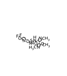 COc1cnc(C)cc1-c1cc(C)ncc1C(=O)Nc1nnc(OCc2ccc(OC(F)F)cn2)s1